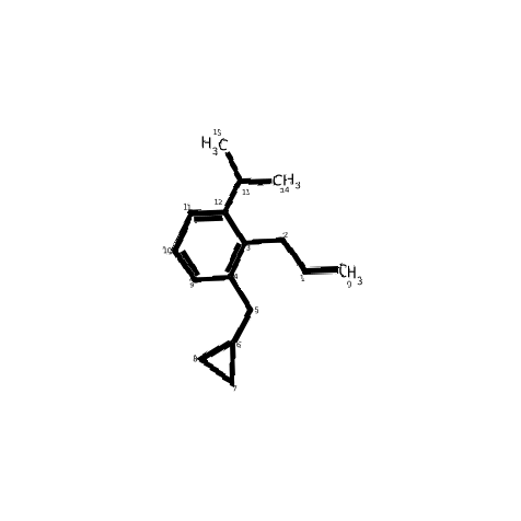 CCCc1c(CC2CC2)[c]ccc1C(C)C